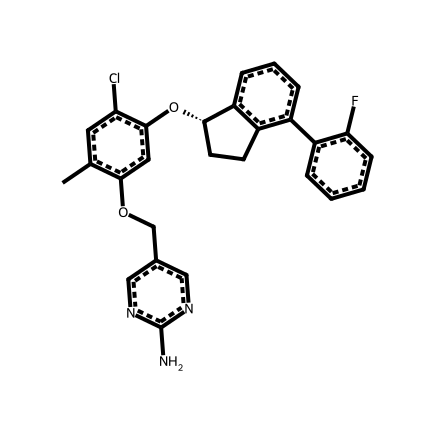 Cc1cc(Cl)c(O[C@H]2CCc3c(-c4ccccc4F)cccc32)cc1OCc1cnc(N)nc1